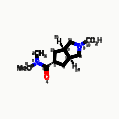 CON(C)C(=O)[C@H]1C[C@@H]2CN(C(=O)O)C[C@@H]2C1